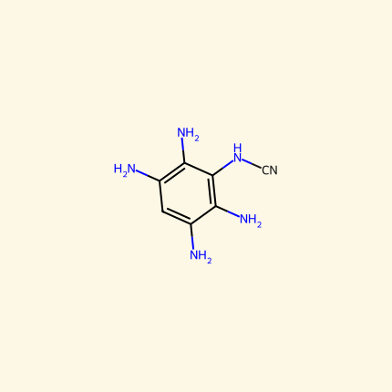 N#CNc1c(N)c(N)cc(N)c1N